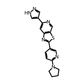 c1n[nH]cc1-c1cc2nc(-c3ccc(N4CCCC4)nc3)sc2cn1